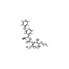 CSC(Br)C(Br)C1C(C(=O)OC(C#N)c2cccc(Oc3ccccc3)c2)C1(C)C